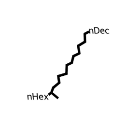 [CH2]CCCCCC(C)CCCCCCCCCCCCCCCCCCCCC